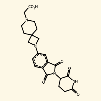 O=C(O)CN1CCC2(CC1)CN(c1ccc3c(c1)C(=O)N(C1CCC(=O)NC1=O)C3=O)C2